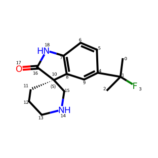 CC(C)(F)c1ccc2c(c1)[C@]1(CCCNC1)C(=O)N2